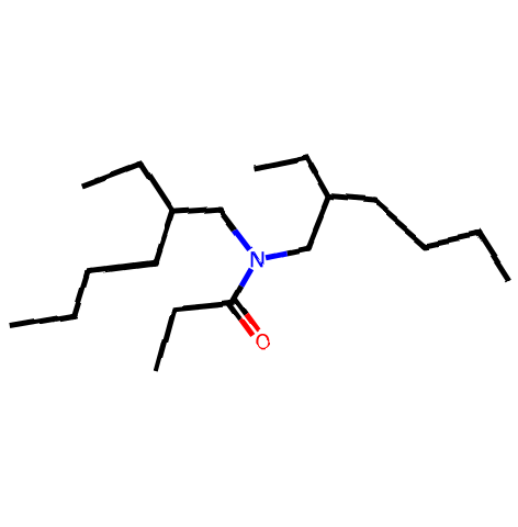 CCCCC(CC)CN(CC(CC)CCCC)C(=O)CC